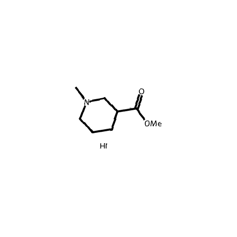 COC(=O)C1CCCN(C)C1.I